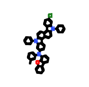 Cc1cccc(N(c2ccc3c4c5ccc6c(c5ccc4n(-c4ccccc4)c3c2)c2ccc(Cl)cc2n6-c2ccccc2)c2cccc3c2oc2ccccc23)c1